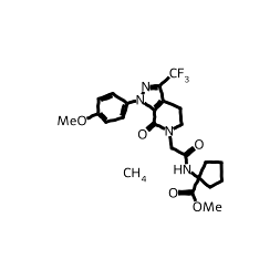 C.COC(=O)C1(NC(=O)CN2CCc3c(C(F)(F)F)nn(-c4ccc(OC)cc4)c3C2=O)CCCC1